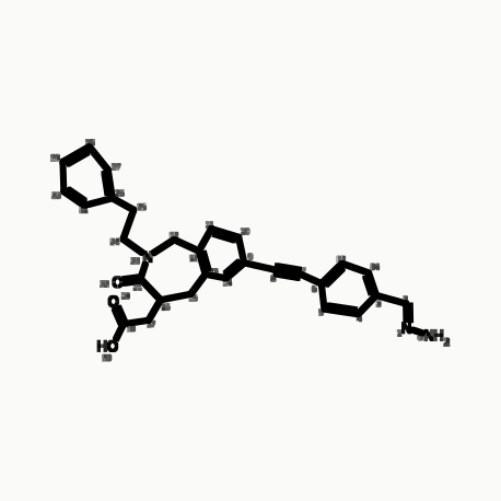 NN=Cc1ccc(C#Cc2ccc3c(c2)CC(CC(=O)O)C(=O)N(CCc2ccccc2)C3)cc1